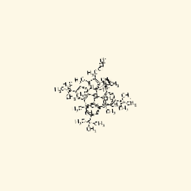 CC1=C(C)[C]([Ti+3])([Si](c2ccc([Si](C)(C)C)cc2[Si](C)(C)C)(c2ccc([Si](C)(C)C)cc2[Si](C)(C)C)c2ccc([Si](C)(C)C)cc2[Si](C)(C)C)C(C)=C1C.[Cl-].[Cl-].[Cl-]